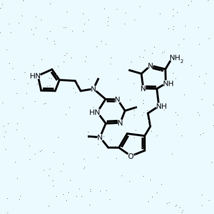 CC1N=C(N)NC(NCCc2coc(CN(C)C3=NC(C)N=C(N(C)CCc4cc[nH]c4)N3)c2)=N1